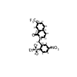 CCS(=O)(=O)c1ccc([N+](=O)[O-])cc1Cn1ccc2ccc(C(F)(F)F)cc2c1=O